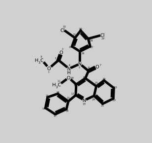 COC(=O)NN(C(=O)c1c(OC)c(-c2ccccc2)nc2ccccc12)c1cc(Cl)cc(Cl)c1